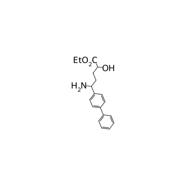 CCOC(=O)C(O)CCC(N)c1ccc(-c2ccccc2)cc1